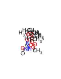 CCOC(=O)CO[C@@H]1[C@@H]2O[Si](C(C)C)(C(C)C)O[Si](C(C)C)(C(C)C)OC[C@H]2O[C@H]1n1ccc(NC(=O)c2ccccc2)nc1=O